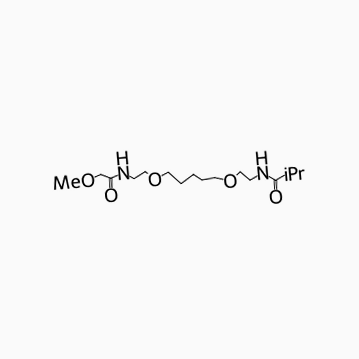 COCC(=O)NCCOCCCCCOCCNC(=O)C(C)C